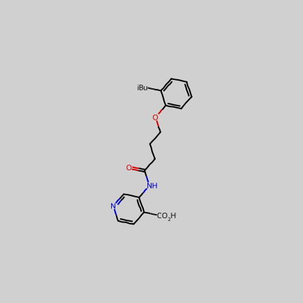 CCC(C)c1ccccc1OCCCC(=O)Nc1cnccc1C(=O)O